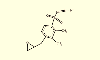 Cc1c(CC2CO2)ccc(S(=O)(=O)N=[N+]=[N-])c1C